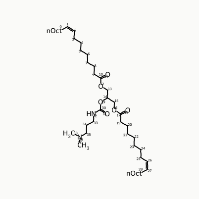 CCCCCCCC/C=C\CCCCCCCC(=O)OCC(COC(=O)CCCCCCC/C=C\CCCCCCCC)OC(=O)NCCCN(C)C